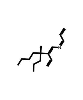 C=C/C=N\C=C(/C=C)C(C)(CCC)CCCC